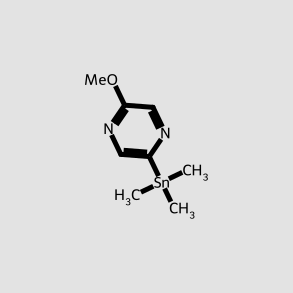 COc1cn[c]([Sn]([CH3])([CH3])[CH3])cn1